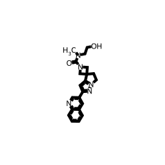 CN(CCO)C(=O)N1CC2(CCn3nc(-c4cnc5ccccc5c4)cc32)C1